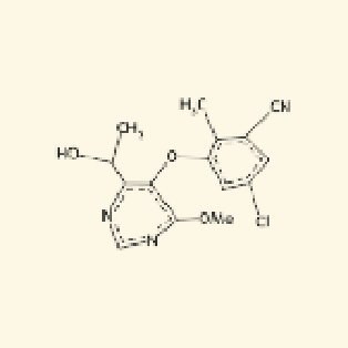 COc1ncnc(C(C)O)c1Oc1cc(Cl)cc(C#N)c1C